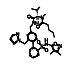 CCCCC(=O)N(C)[C@H](C(=O)NCc1ccc(-c2ccccc2S(=O)(=O)Nc2onc(C)c2C)c(Cn2cccn2)c1)C(C)C